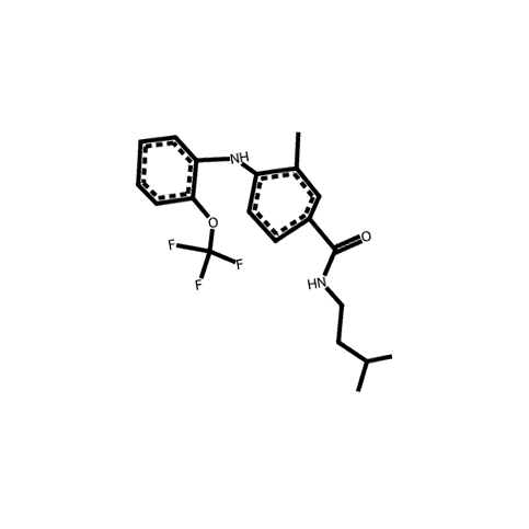 Cc1cc(C(=O)NCCC(C)C)ccc1Nc1ccccc1OC(F)(F)F